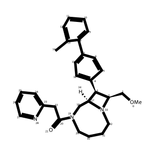 COC[C@@H]1[C@H](c2ccc(-c3ccccc3C)cc2)[C@@H]2CN(C(=O)Cc3ccccn3)CCCCN12